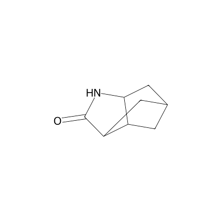 O=C1NC2CC3CC1C2C3